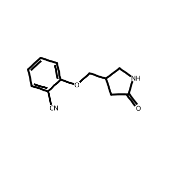 N#Cc1ccccc1OCC1CNC(=O)C1